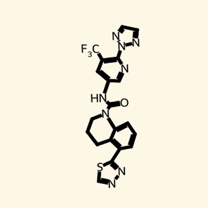 O=C(Nc1cnc(-n2nccn2)c(C(F)(F)F)c1)N1CCCc2c(-c3nncs3)cccc21